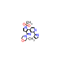 C[C@@H]1COCCN1c1nc2c(C3=NCC=C3)nccc2c2c1ccn2S(C)(=O)=O